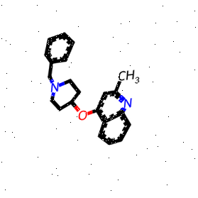 Cc1cc(OC2CCN(Cc3ccccc3)CC2)c2ccccc2n1